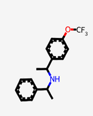 CC(NC(C)c1ccc(OC(F)(F)F)cc1)c1ccccc1